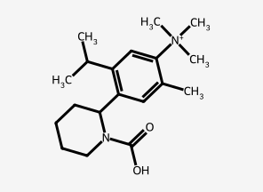 Cc1cc(C2CCCCN2C(=O)O)c(C(C)C)cc1[N+](C)(C)C